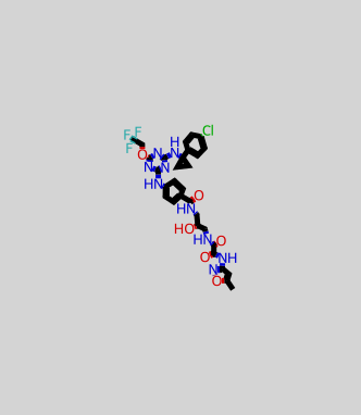 Cc1cc(NC(=O)C(=O)NCC(O)CNC(=O)c2ccc(Nc3nc(NC4(c5ccc(Cl)cc5)CC4)nc(OCC(F)(F)F)n3)cc2)no1